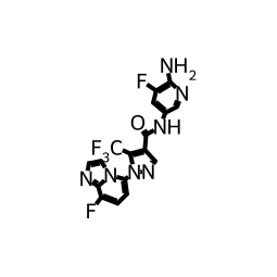 Nc1ncc(NC(=O)c2cnn(-c3ccc(F)c4nccn34)c2C(F)(F)F)cc1F